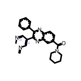 C=N/C=C(\C=N/C)c1nc2cc(C(=O)N3CCCCC3)ccc2nc1-c1ccccc1